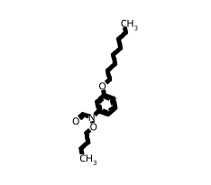 CCCCCCCCOc1[c]ccc(N(C=O)OCCCC)c1